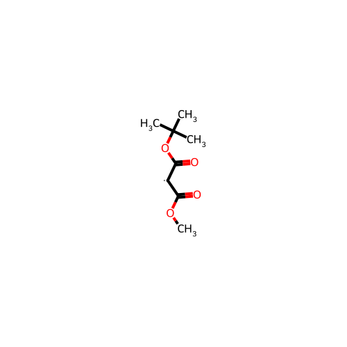 COC(=O)[CH]C(=O)OC(C)(C)C